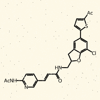 CC(=O)Nc1ccc(/C=C/C(=O)NCC2Cc3cc(-c4ccc(C(C)=O)s4)cc(Cl)c3O2)cn1